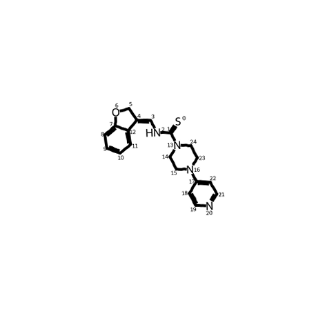 S=C(N/C=C1/COc2ccccc21)N1CCN(c2ccncc2)CC1